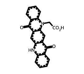 O=C(O)Cn1c2ccccc2c(=O)c2cc3[nH]c4ccccc4c(=O)c3cc21